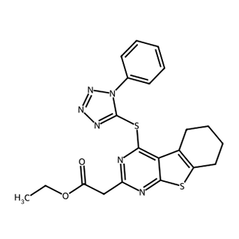 CCOC(=O)Cc1nc(Sc2nnnn2-c2ccccc2)c2c3c(sc2n1)CCCC3